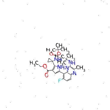 CCOC(=O)c1cc(-c2c(F)ccc3nc(C)c(NC(C)(C)C)nc23)[nH]c1C1(NC(=O)OC(C)(C)C)CC1